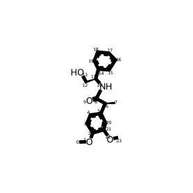 COc1ccc([C@H](C)C(=O)N[C@@H](CO)c2ccccc2)cc1OC